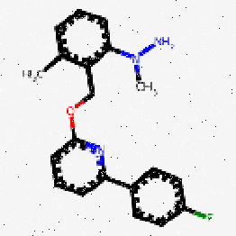 Cc1cccc(N(C)N)c1COc1cccc(-c2ccc(F)cc2)n1